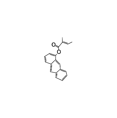 CC=C(C)C(=O)Oc1cccc2cc3ccccc3cc12